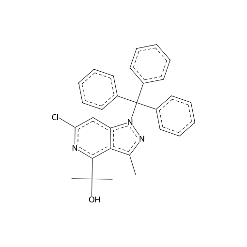 Cc1nn(C(c2ccccc2)(c2ccccc2)c2ccccc2)c2cc(Cl)nc(C(C)(C)O)c12